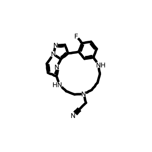 N#CCN1CCCNc2ccc(F)c(c2)-c2cnn3ccc(nc23)NCC1